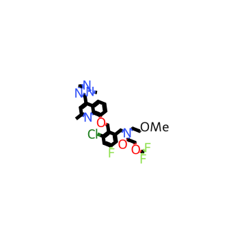 COCCN(Cc1cc(F)cc(Cl)c1COc1cccc2c(-c3ncnn3C)cc(C)nc12)C(=O)COC(F)F